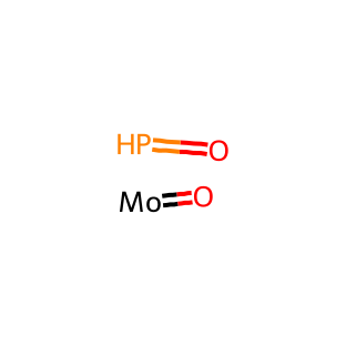 O=P.[O]=[Mo]